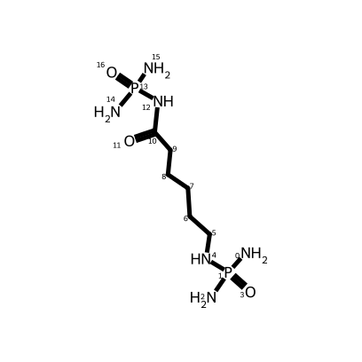 NP(N)(=O)NCCCCCC(=O)NP(N)(N)=O